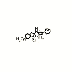 COc1ccc(CC(=O)Nc2sc(-c3ccncc3)cc2N)c(OC)c1